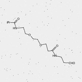 CC(C)C(=O)NCCOCCOCCC(=O)NCCC=O